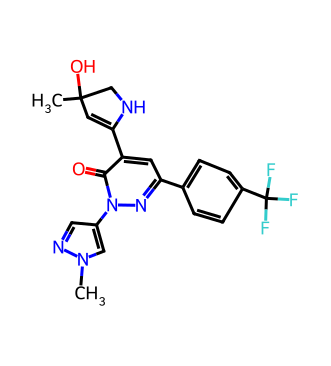 Cn1cc(-n2nc(-c3ccc(C(F)(F)F)cc3)cc(C3=CC(C)(O)CN3)c2=O)cn1